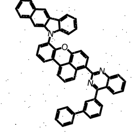 c1ccc(-c2cccc(-c3nc(-c4ccc5c6c(cccc46)-c4cccc(-n6c7ccccc7c7cc8ccccc8cc76)c4O5)nc4ccccc34)c2)cc1